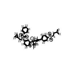 CC(C)CCS(=O)(=O)c1ccc(C#CC(O)(c2cccc(N(CC3CC3)S(=O)(=O)c3ccccc3)c2)C(F)(F)F)cc1